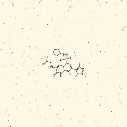 Cc1noc(C)c1-c1cc(S(=O)(=O)NC2CCCC2)c2cc(NCC(F)F)c(=O)[nH]c2c1